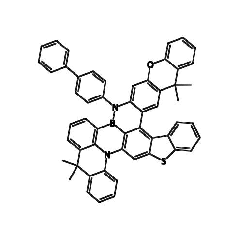 CC1(C)c2ccccc2Oc2cc3c(cc21)-c1c2c(cc4sc5ccccc5c14)N1c4ccccc4C(C)(C)c4cccc(c41)B2N3c1ccc(-c2ccccc2)cc1